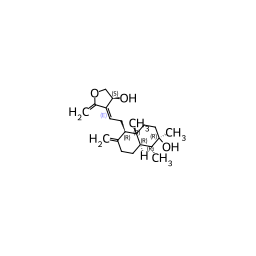 C=C1OC[C@@H](O)/C1=C\C[C@@H]1C(=C)CC[C@@H]2[C@@H](C)[C@](C)(O)CC[C@@]12C